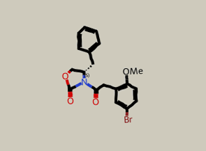 COc1ccc(Br)cc1CC(=O)N1C(=O)OC[C@@H]1Cc1ccccc1